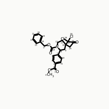 COC(=O)c1ccc(C2CC3(CCN2C(=O)OCc2ccccc2)CC(=O)C3(Cl)Cl)cc1